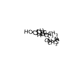 C[C@H](CCC(=O)N(C)CCc1nccs1)[C@H]1CC[C@H]2[C@@H]3CC=C4C[C@@H](O)CC[C@]4(C)[C@H]3CC[C@]12C